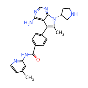 Cc1ccnc(NC(=O)c2ccc(-c3c(C)n([C@@H]4CCNC4)c4ncnc(N)c34)cc2)c1